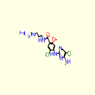 CNc1nc(Nc2cc(OC)c(C(=O)NCCCN)cc2Cl)ncc1Cl